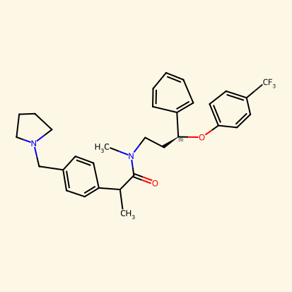 CC(C(=O)N(C)CC[C@H](Oc1ccc(C(F)(F)F)cc1)c1ccccc1)c1ccc(CN2CCCC2)cc1